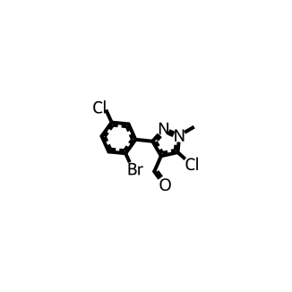 Cn1nc(-c2cc(Cl)ccc2Br)c(C=O)c1Cl